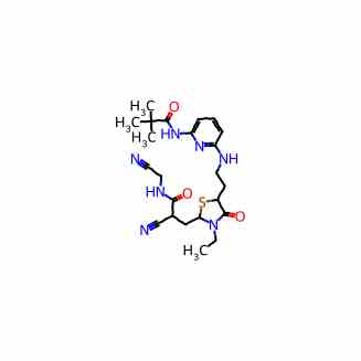 CCN1C(=O)C(CCNc2cccc(NC(=O)C(C)(C)C)n2)SC1CC(C#N)C(=O)NCC#N